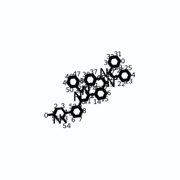 CC1=CCC(c2cccc(-c3cc(-c4cccc(-c5nc(-c6ccccc6)c(-c6ccccc6)nc5-c5ccccc5)c4)nc(-c4ccccc4)n3)c2)C(C)=N1